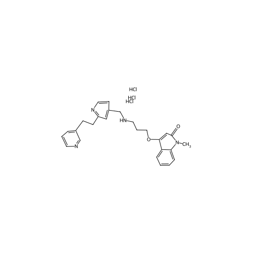 Cl.Cl.Cl.Cn1c(=O)cc(OCCCNCc2ccnc(CCc3cccnc3)c2)c2ccccc21